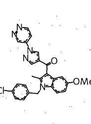 COc1ccc2c(c1)c(C(=O)c1cnn(-c3ccnnc3)c1)c(C)n2Cc1ccc(Cl)cc1